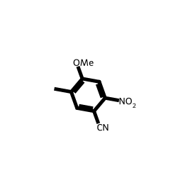 COc1cc([N+](=O)[O-])c(C#N)cc1C